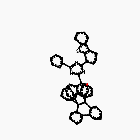 c1ccc(-c2nc(-c3ccc4c5c(cccc35)C35c6ccccc6-c6ccccc6C43c3ccccc3-c3ccccc35)nc(-c3cccc4c3sc3ccccc34)n2)cc1